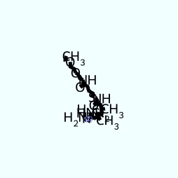 CCOCCOCCNC(=O)CCCSNC(=O)CC(C)(C)CC(C)(C)C/C(N)=N/N